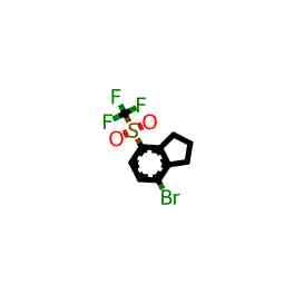 O=S(=O)(c1ccc(Br)c2c1CCC2)C(F)(F)F